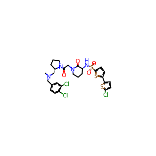 CN(Cc1ccc(Cl)c(Cl)c1)C[C@@H]1CCCN1C(=O)CN1CCC[C@H](NS(=O)(=O)c2ccc(-c3ccc(Cl)s3)s2)C1=O